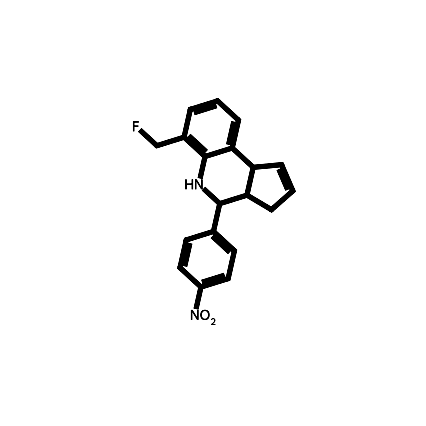 O=[N+]([O-])c1ccc(C2Nc3c(CF)cccc3C3C=CCC32)cc1